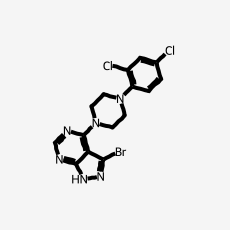 Clc1ccc(N2CCN(c3ncnc4[nH]nc(Br)c34)CC2)c(Cl)c1